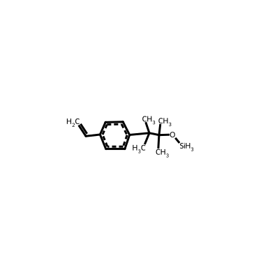 C=Cc1ccc(C(C)(C)C(C)(C)O[SiH3])cc1